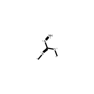 CB=C(N=N)OC